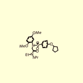 CCCN(CC)C(=O)CN(c1cc(OC)ccc1OC)S(=O)(=O)c1ccc(OC2CCCC2)cc1